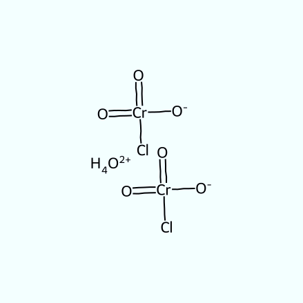 [OH4+2].[O]=[Cr](=[O])([O-])[Cl].[O]=[Cr](=[O])([O-])[Cl]